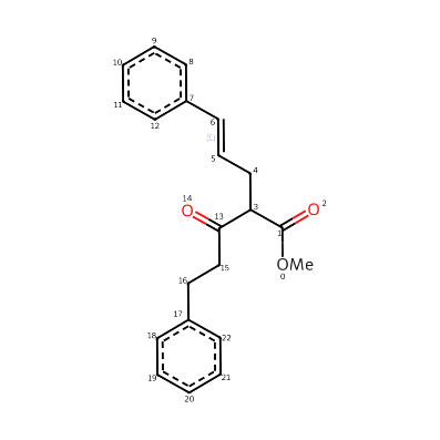 COC(=O)C(C/C=C/c1ccccc1)C(=O)CCc1ccccc1